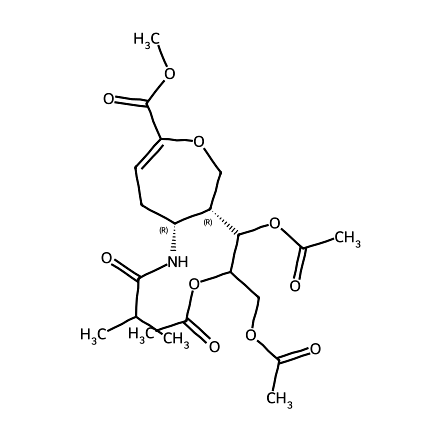 COC(=O)C1=CC[C@@H](NC(=O)C(C)C)[C@@H](C(OC(C)=O)C(COC(C)=O)OC(C)=O)CO1